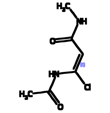 CNC(=O)/C=C(/Cl)NC(C)=O